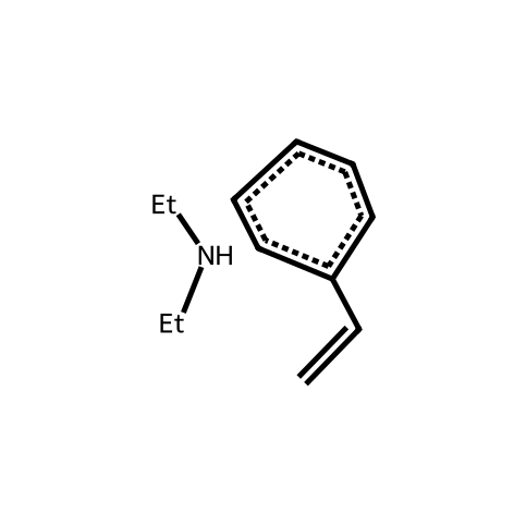 C=Cc1ccccc1.CCNCC